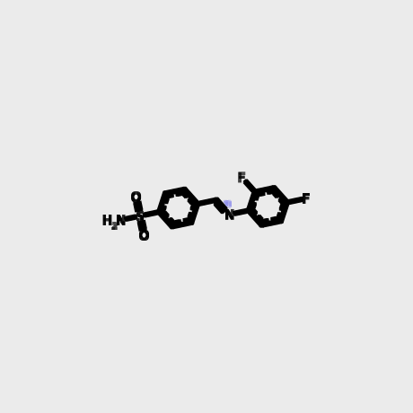 NS(=O)(=O)c1ccc(/C=N/c2ccc(F)cc2F)cc1